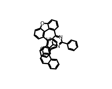 c1ccc(C2=NC(c3ccccc3)NC(c3cccc4oc5cccc(-c6cccc7c6oc6ccc8ccccc8c67)c5c34)=N2)cc1